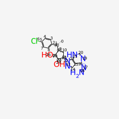 C[C@@H](c1ccc(Cl)cc1)[C@H]1C[C@@H](n2ncc3/c(=N\N)nc[nH]c32)[C@H](O)[C@@H]1O